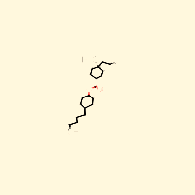 CCCCCC1CCC(OC(=O)[C@H]2CC[C@@](C)(CCC)CC2)CC1